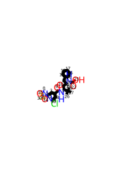 CN(c1cc(C(=O)NC(C(=O)[C@@](C)(Cc2ccccc2)NC(=O)O)C(C)(C)C)cc(Cl)n1)S(C)(=O)=O